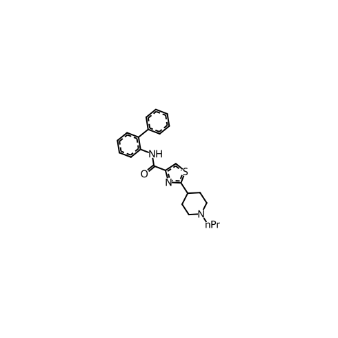 CCCN1CCC(c2nc(C(=O)Nc3ccccc3-c3ccccc3)cs2)CC1